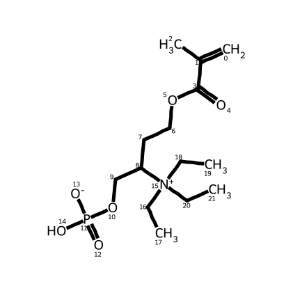 C=C(C)C(=O)OCCC(COP(=O)([O-])O)[N+](CC)(CC)CC